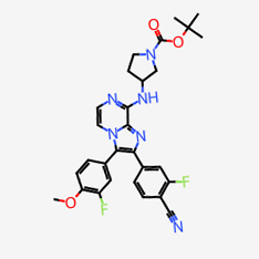 COc1ccc(-c2c(-c3ccc(C#N)c(F)c3)nc3c(NC4CCN(C(=O)OC(C)(C)C)C4)nccn23)cc1F